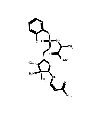 COC(=O)[C@H](C)NP(=O)(OC[C@H]1O[C@@H](N/C=C\C(=N)N)[C@](C)(N)[C@@H]1O)Oc1ccccc1Cl